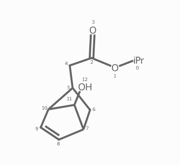 CC(C)OC(=O)CC1CC2C=CC1C2O